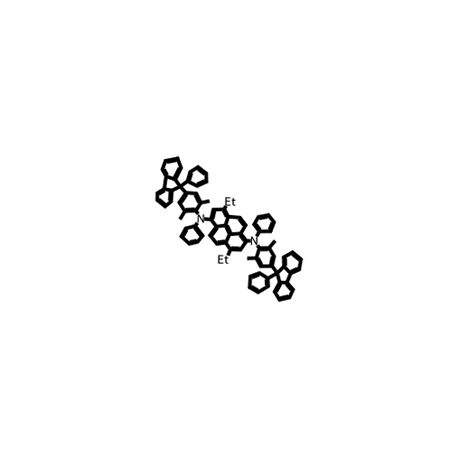 CCc1cc(N(c2ccccc2)c2c(C)cc(C3(c4ccccc4)c4ccccc4-c4ccccc43)cc2C)c2ccc3c(CC)cc(N(c4ccccc4)c4c(C)cc(C5(c6ccccc6)c6ccccc6-c6ccccc65)cc4C)c4ccc1c2c34